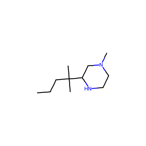 CCCC(C)(C)C1CN(C)CCN1